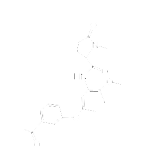 COc1ccc(Oc2cccc(C(C)=O)c2)cc1NC(=O)C1CCC(=O)N1C